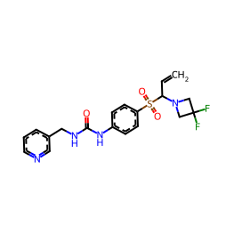 C=CC(N1CC(F)(F)C1)S(=O)(=O)c1ccc(NC(=O)NCc2cccnc2)cc1